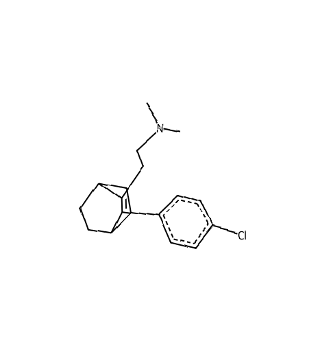 CN(C)CCC1=C(c2ccc(Cl)cc2)C2CCC1CC2